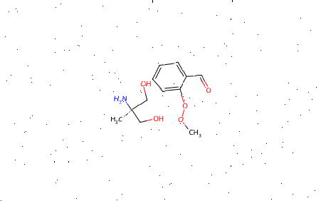 CC(N)(CO)CO.COOc1ccccc1C=O